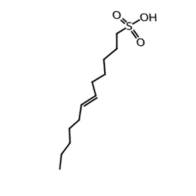 CCCCCC=CCCCCCS(=O)(=O)O